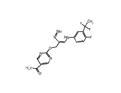 CC(=O)c1cnc(OC/C(=C/Nc2ccc(F)c(C(C)(F)F)c2)N=N)nc1